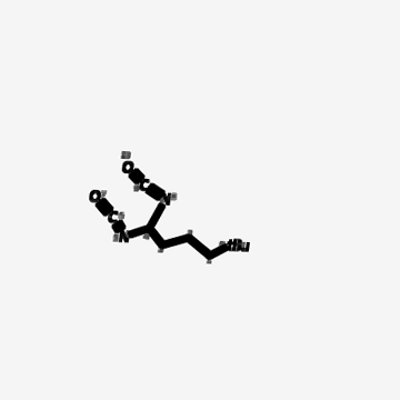 CC(C)(C)CCCC(N=C=O)N=C=O